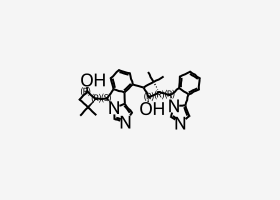 CC1(C)C[C@@H](O)[C@H]1[C@H]1c2cccc(C3[C@@H](O)[C@@H]([C@@H]4c5ccccc5-c5cncn54)C3(C)C)c2-c2cncn21